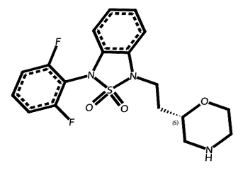 O=S1(=O)N(CC[C@H]2CNCCO2)c2ccccc2N1c1c(F)cccc1F